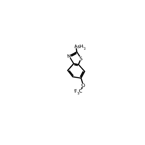 FC(F)(F)Oc1ccc2nc([AsH2])sc2c1